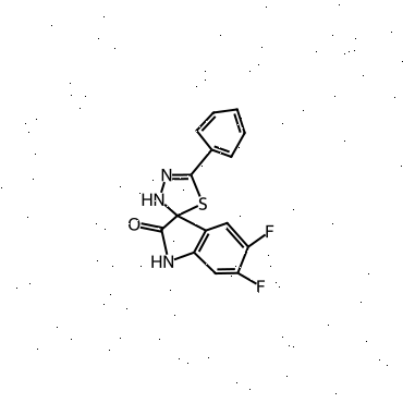 O=C1Nc2cc(F)c(F)cc2C12NN=C(c1ccccc1)S2